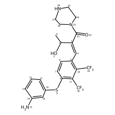 CC(O)C(=Cc1ccc(Sc2cccc(N)c2)c(C(F)(F)F)c1C(F)(F)F)C(=O)N1CCNCC1